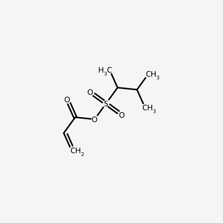 C=CC(=O)OS(=O)(=O)C(C)C(C)C